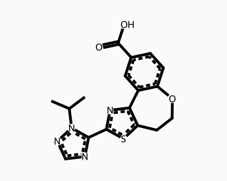 CC(C)n1ncnc1-c1nc2c(s1)CCOc1ccc(C(=O)O)cc1-2